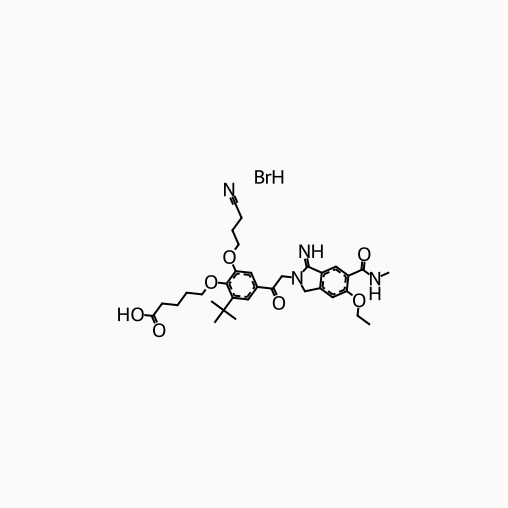 Br.CCOc1cc2c(cc1C(=O)NC)C(=N)N(CC(=O)c1cc(OCCCC#N)c(OCCCCC(=O)O)c(C(C)(C)C)c1)C2